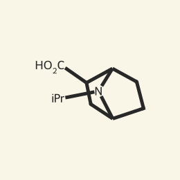 CC(C)N1C2CCC1C(C(=O)O)C2